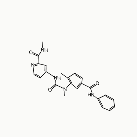 CNC(=O)c1cc(NC(=O)N(C)c2cc(C(=O)Nc3ccccc3)ccc2C)ccn1